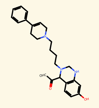 O=CC(=O)C1c2ccc(O)cc2NCN1CCCCN1CC=C(c2ccccc2)CC1